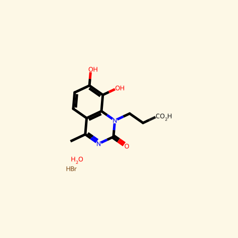 Br.Cc1nc(=O)n(CCC(=O)O)c2c(O)c(O)ccc12.O